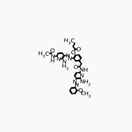 CCCC(=O)Oc1ccc(CC(=O)Nc2ccc(/N=N/c3ccccc3OC)c(N)n2)cc1/N=N/c1ccc(NC(C)=O)nc1N